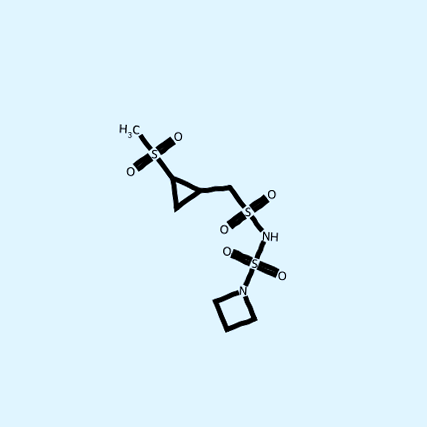 CS(=O)(=O)C1CC1CS(=O)(=O)NS(=O)(=O)N1CCC1